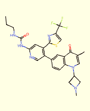 CCCNC(=O)Nc1cc(-c2nc(C(F)(F)F)cs2)c(-c2ccc3c(c2)c(=O)c(C)cn3C2CN(C)C2)cn1